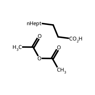 CC(=O)OC(C)=O.CCCCCCCCCC(=O)O